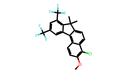 COc1[c]cc2c3c(c[c]c2c1Cl)C(C)(C)c1c-3cc(C(F)(F)F)cc1C(F)(F)F